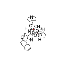 CC(C)(C)OC(=O)N1[C@@H]2CC[C@H]1CN(c1nc(OCC34CCCN3CCC4)nc3c(F)c(-c4c(Cl)ccc5ccccc45)ncc13)C2